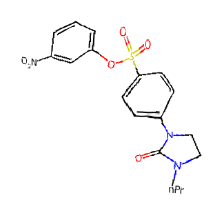 CCCN1CCN(c2ccc(S(=O)(=O)Oc3cccc([N+](=O)[O-])c3)cc2)C1=O